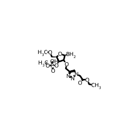 B[C@@H]1O[C@H](COC)[C@H](OP(=O)(O)OC)C1OCc1cn(CC(=O)OCC)nn1